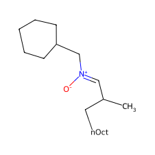 CCCCCCCCCC(C)C=[N+]([O-])CC1CCCCC1